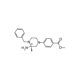 COC(=O)c1ccc(N2CCN(Cc3ccccc3)[C@@](C)(N)C2)cc1